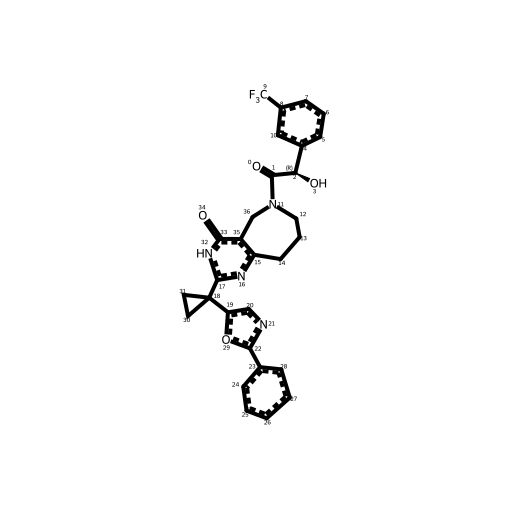 O=C([C@H](O)c1cccc(C(F)(F)F)c1)N1CCCc2nc(C3(c4cnc(-c5ccccc5)o4)CC3)[nH]c(=O)c2C1